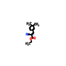 CCOC(=O)/C(C#N)=C/c1ccc(C)c(C)c1